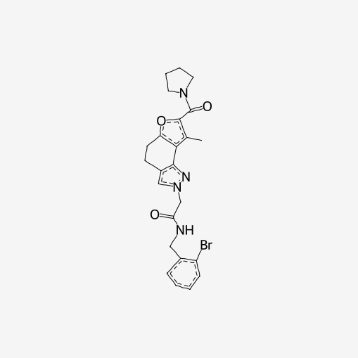 Cc1c(C(=O)N2CCCC2)oc2c1-c1nn(CC(=O)NCc3ccccc3Br)cc1CC2